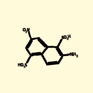 Nc1ccc2c(S(=O)(=O)O)cc([N+](=O)[O-])cc2c1S(=O)(=O)O